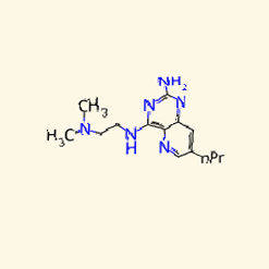 CCCc1cnc2c(NCCN(C)C)nc(N)nc2c1